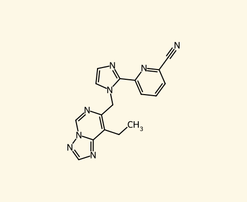 CCc1c(Cn2ccnc2-c2cccc(C#N)n2)ncn2ncnc12